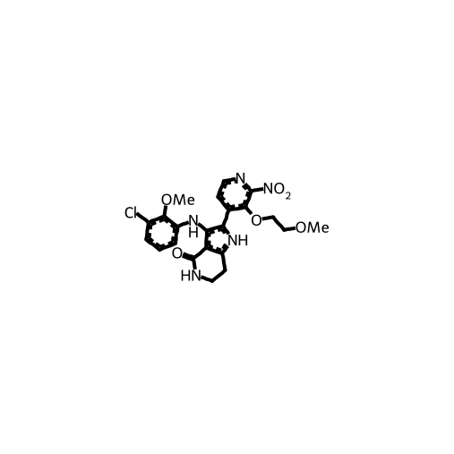 COCCOc1c(-c2[nH]c3c(c2Nc2cccc(Cl)c2OC)C(=O)NCC3)ccnc1[N+](=O)[O-]